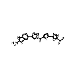 CC(c1ccc(-c2nnc(C(F)F)o2)s1)n1cc(-c2ccc3nc(N)sc3c2)nn1